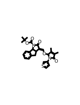 CC1=C(C)C(O/C=C2/C(=O)N(C(=O)OC(C)(C)C)C3c4ccccc4CC23)N(c2ccsc2)C1=O